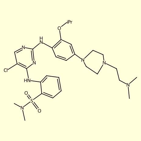 CC(C)Oc1cc(N2CCN(CCN(C)C)CC2)ccc1Nc1ncc(Cl)c(Nc2ccccc2S(=O)(=O)N(C)C)n1